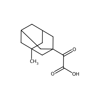 CC12CC3CC(C1)CC(C(=O)C(=O)O)(C3)C2